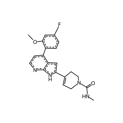 CNC(=O)N1CC=C(c2cc3c(-c4ccc(F)cc4OC)ccnc3[nH]2)CC1